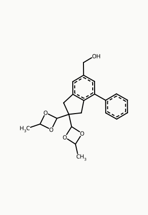 CC1OC(C2(C3OC(C)O3)Cc3cc(CO)cc(-c4ccccc4)c3C2)O1